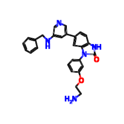 NCCOc1cccc(-n2c(=O)[nH]c3ccc(-c4cncc(NCc5ccccc5)c4)cc32)c1